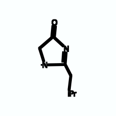 CC(C)CC1=NC(=O)C[N]1